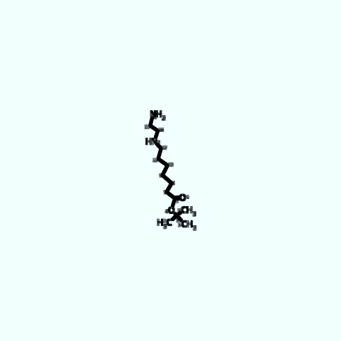 CC(C)(C)OC(=O)CCCCCCNCCN